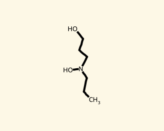 CCCN(O)CCCO